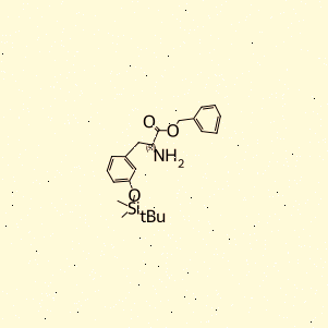 CC(C)(C)[Si](C)(C)Oc1cccc(C[C@@H](N)C(=O)OCc2ccccc2)c1